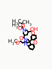 COCCCCC1(CNC(=O)C2CC(C(=O)O)CN(C(=O)OC(C)(C)C)C2)c2ccccc2Oc2ccccc21